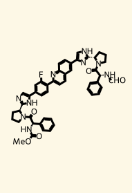 COC(=O)N[C@@H](C(=O)N1CCC[C@H]1c1ncc(-c2ccc(-c3ccc4cc(-c5c[nH]c([C@@H]6CCCN6C(=O)[C@H](NC=O)c6ccccc6)n5)ccc4n3)c(F)c2)[nH]1)c1ccccc1